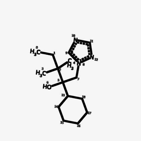 CCC(C)(C)C(O)(Cn1cncn1)C1CCCCC1